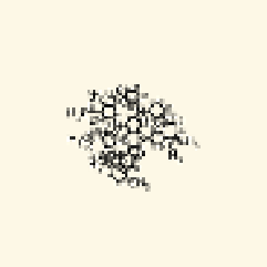 CC(C)(C)c1cc(N2c3cc4c(cc3B3c5c2cc(N(c2ccccc2)c2ccccc2)cc5N(c2ccc5c(c2)C(C)(C)CCC5(C)C)c2oc5cc6c(cc5c23)C2(C)CCC6(C)CC2)C(C)(C)CCC4(C)C)cc(C(C)(C)C)c1